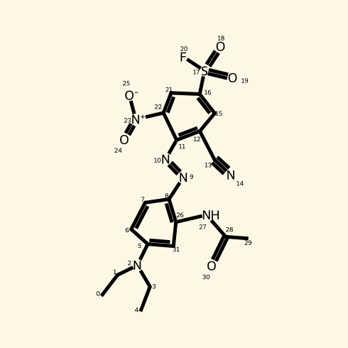 CCN(CC)c1ccc(N=Nc2c(C#N)cc(S(=O)(=O)F)cc2[N+](=O)[O-])c(NC(C)=O)c1